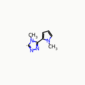 Cn1[c]nnc1-c1cccn1C